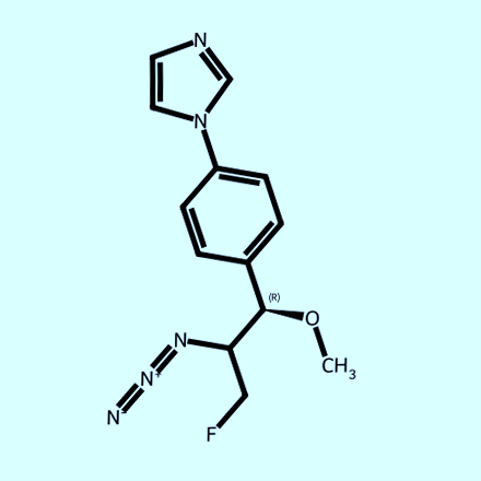 CO[C@H](c1ccc(-n2ccnc2)cc1)C(CF)N=[N+]=[N-]